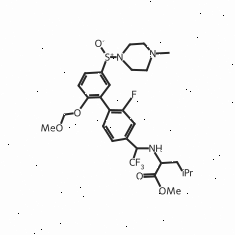 COCOc1ccc([S+]([O-])N2CCN(C)CC2)cc1-c1ccc(C(NC(CC(C)C)C(=O)OC)C(F)(F)F)cc1F